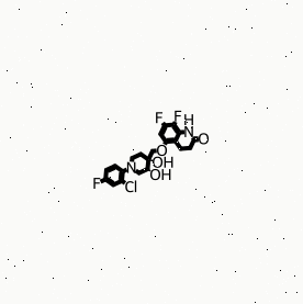 O=C1CCc2c(OC[C@]3(O)CCN(c4ccc(F)cc4Cl)C[C@H]3O)cc(F)c(F)c2N1